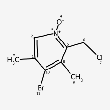 Cc1c[n+]([O-])c(CCl)c(C)c1Br